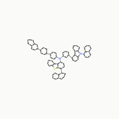 c1cc(-c2cccc3c2c2ccccc2n3-c2cccc3ccccc23)cc(N(c2ccc(-c3ccc(-c4ccc5ccccc5c4)cc3)cc2)c2ccc(-c3cccc4ccccc34)c3sc4ccccc4c23)c1